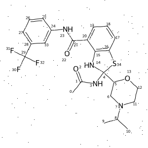 CC(=O)NC1(C2CN(C(C)C)CCO2)Nc2c(cccc2C(=O)Nc2[c]ccc(C(F)(F)F)c2)S1